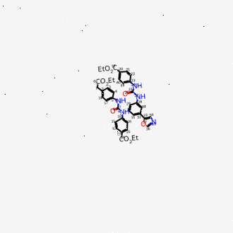 CCOC(=O)Cc1ccc(NC(=O)Nc2ccc(C(=O)OCC)cc2)cc1.CCOC(=O)c1ccc(NC(=O)Nc2cccc(-c3cnco3)c2)cc1